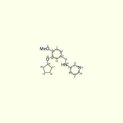 COc1ccc(CNc2cccnc2)cc1OC1CCCC1